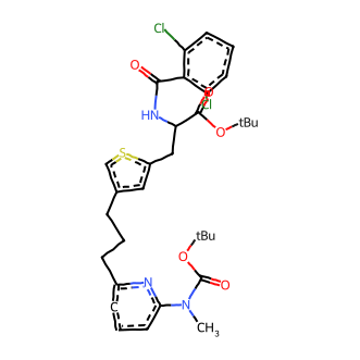 CN(C(=O)OC(C)(C)C)c1cccc(CCCc2csc(CC(NC(=O)c3c(Cl)cccc3Cl)C(=O)OC(C)(C)C)c2)n1